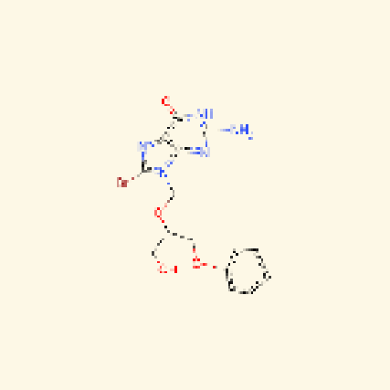 Nc1nc2c(nc(Br)n2COC(CO)COc2ccccc2)c(=O)[nH]1